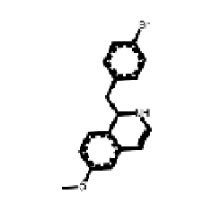 COc1ccc2c(c1)C=CNC2Cc1ccc(Br)cc1